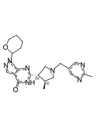 Cc1ncc(CN2C[C@@H](C)[C@H](c3nc4c(cnn4C4CCCCO4)c(=O)[nH]3)C2)cn1